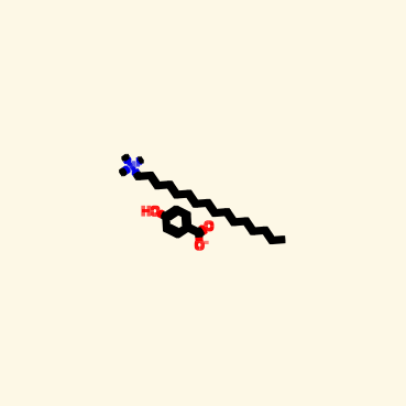 CCCCCCCCCCCCCCCC[N+](C)(C)C.O=C([O-])c1ccc(O)cc1